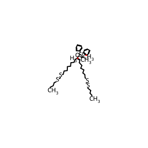 CCCCCSCSCCCCCCCCC(CCCCCCCCSCSCCCCC)O[Si](c1ccccc1)(c1ccccc1)C(C)(C)C